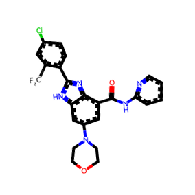 O=C(Nc1ccccn1)c1cc(N2CCOCC2)cc2[nH]c(-c3ccc(Cl)cc3C(F)(F)F)nc12